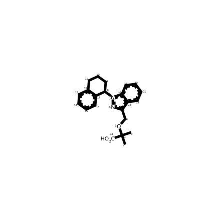 CC(C)(OCc1nn(C2CCCc3ccccc32)c2ccccc12)C(=O)O